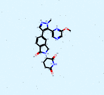 COc1cncc(-c2c(-c3ccc4c(c3)CN([C@H]3CCC(=O)NC3=O)C4=O)cnn2C)n1